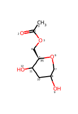 CC(=O)OC[C@H]1OCC(O)CC1O